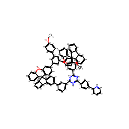 FC(F)(F)Oc1ccc(-c2cc(-c3ccc(OC(F)(F)F)cc3)cc(-c3ccc4c(c3)Oc3ccccc3C43c4ccccc4-c4cc(-c5cccc(-c6nc(-c7ccc(-c8ccccn8)cc7)nc(-c7ccc8c(c7)Oc7ccccc7C87c8ccccc8-c8ccccc87)n6)c5)ccc43)c2)cc1